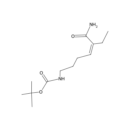 CC/C(=C/CCCNC(=O)OC(C)(C)C)C(N)=O